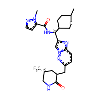 CC1CCC([C@H](NC(=O)c2ccnn2C)c2cn3nc(CC4C[C@@H](C(F)(F)F)CNC4=O)ccc3n2)CC1